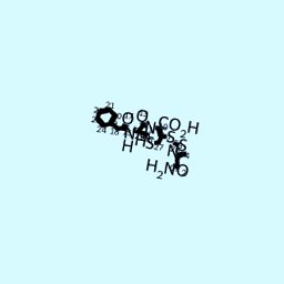 NC(=O)c1csc(SC2=C(C(=O)O)N3C(=O)[C@@H](NC(=O)Cc4ccccc4)[C@@H]3SC2)n1